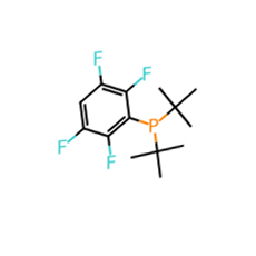 CC(C)(C)P(c1c(F)c(F)cc(F)c1F)C(C)(C)C